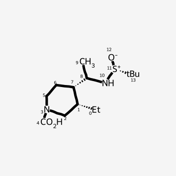 CC[C@@H]1CN(C(=O)O)CC[C@@H]1C(C)N[S@+]([O-])C(C)(C)C